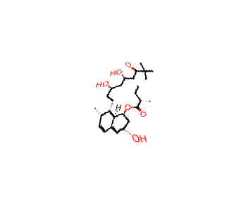 CC[C@H](C)C(=O)O[C@H]1C[C@H](O)C=C2C=C[C@H](C)[C@H](CC[C@@H](O)C[C@@H](O)CC(=O)C(C)(C)C)[C@H]21